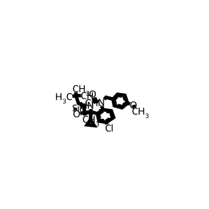 COc1ccc(CN2C(=O)NC(C3CC3)(C(C)(O[SiH3])C(C)CC(C)(C)C)c3cc(Cl)ccc32)cc1